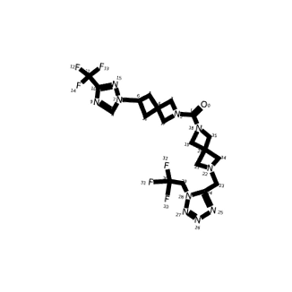 O=C(N1CC2(CC(n3cnc(C(F)(F)F)n3)C2)C1)N1CC2(CN(Cc3nnnn3CC(F)(F)F)C2)C1